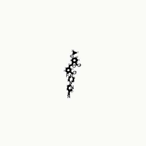 N#Cc1ccc(N2CCN(C(=O)c3cc(C=C4OC(=O)c5ccc(OC6CC6)cc54)ccc3F)CC2)nc1